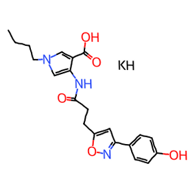 CCCCn1cc(NC(=O)CCc2cc(-c3ccc(O)cc3)no2)c(C(=O)O)c1.[KH]